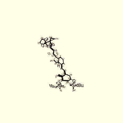 C=C1/C(=C\C=C2/CCC[C@]3(C)[C@@H]([C@H](C)/C=C/CC4(C5(CCCC)OCCO5)CC4)CC[C@@H]23)C[C@@H](O[Si](C)(C)C(C)(C)C)C[C@@H]1O[Si](C)(C)C(C)(C)C